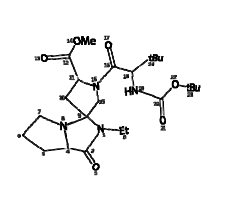 CCN1C(=O)C2CCCN2C12CC(C(=O)OC)N(C(=O)C(NC(=O)OC(C)(C)C)C(C)(C)C)C2